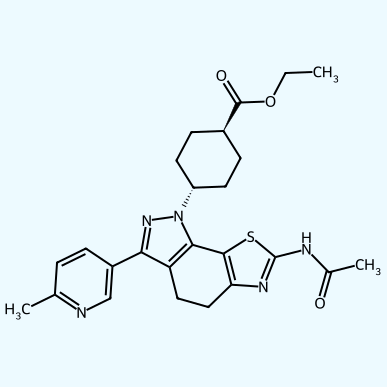 CCOC(=O)[C@H]1CC[C@H](n2nc(-c3ccc(C)nc3)c3c2-c2sc(NC(C)=O)nc2CC3)CC1